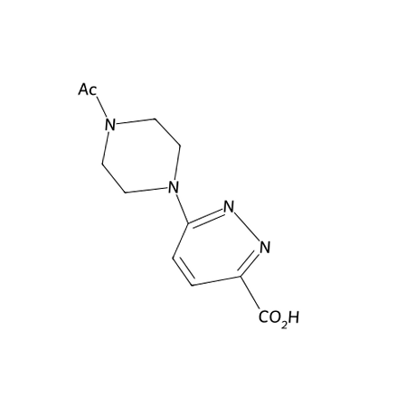 CC(=O)N1CCN(c2ccc(C(=O)O)nn2)CC1